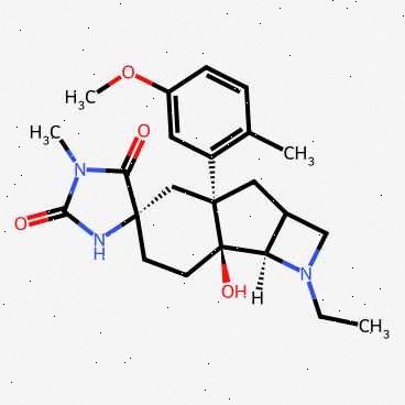 CCN1CC2C[C@]3(c4cc(OC)ccc4C)C[C@]4(CC[C@@]3(O)[C@@H]21)NC(=O)N(C)C4=O